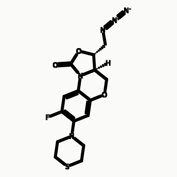 [N-]=[N+]=NC[C@H]1OC(=O)N2c3cc(F)c(N4CCSCC4)cc3OC[C@H]12